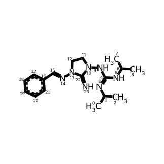 CC(C)N=C(NC(C)C)NN1CCN(N=Cc2ccccc2)C1=N